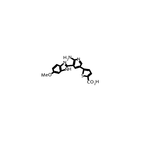 COc1ccc2nc(-c3cc(-c4ccc(C(=O)O)s4)cnc3N)[nH]c2c1